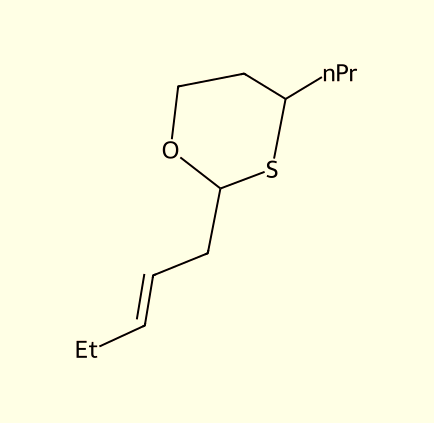 CCC=CCC1OCCC(CCC)S1